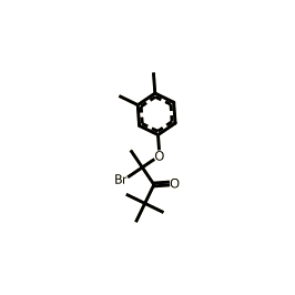 Cc1ccc(OC(C)(Br)C(=O)C(C)(C)C)cc1C